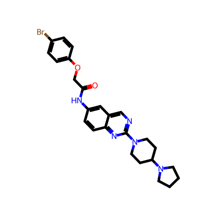 O=C(COc1ccc(Br)cc1)Nc1ccc2nc(N3CCC(N4CCCC4)CC3)ncc2c1